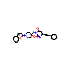 C[C@H](CC(=O)N1CCC(O)(Cn2cnc(C#Cc3ccccc3)cc2=O)CC1)c1ccccc1